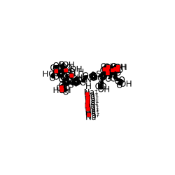 O=C(Nc1ccc(S[C@@H]2O[C@H](COS(=O)(=O)O)[C@@H](O[C@@H]3O[C@H](COS(=O)(=O)O)[C@@H](OS(=O)(=O)O)[C@H](OS(=O)(=O)O)[C@H]3OS(=O)(=O)O)[C@H](OS(=O)(=O)O)[C@H]2OS(=O)(=O)O)cc1)C(=O)Nc1ccc(S[C@@H]2O[C@H](COS(=O)(=O)O)[C@@H](O[C@@H]3O[C@H](COS(=O)(=O)O)[C@@H](OS(=O)(=O)O)[C@H](OS(=O)(=O)O)[C@H]3OS(=O)(=O)O)[C@H](OS(=O)(=O)O)[C@H]2OS(=O)(=O)O)cc1.[Na+].[Na+].[Na+].[Na+].[Na+].[Na+].[Na+].[Na+].[Na+].[Na+].[Na+].[Na+].[Na+].[Na+]